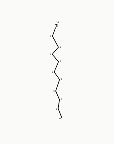 CCCCCCCCC[CH2][Ti]